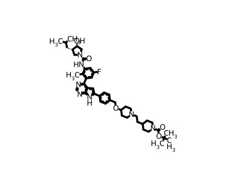 Cc1c(NC(=O)N2C[C@H](CC(C)C)[C@@H](O)C2)cc(F)cc1-c1ncnc2[nH]c(-c3ccc(COC4CCN(CCC5CCN(C(=O)OC(C)(C)C)CC5)CC4)cc3)cc12